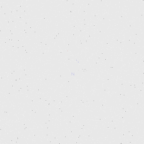 COc1ccc([N+](=O)[O-])cc1[C@]12CCCC1CSC(NC(=O)OC(C)(C)C)=N2